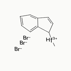 [Br-].[Br-].[Br-].[CH3][Hf+3][CH]1C=Cc2ccccc21